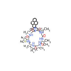 C#SC(C)[C@@H]1NC[C@H](C(C)C)NC(=O)[C@@H](C(C)C)NC(=O)[C@H](C(C)C)NC(=O)[C@@H](CC(C)C)NC(=O)[C@H](Cc2ccc3ccc4cccc5ccc2c3c45)NC(=O)[C@@H](C(C)C)NC1=O